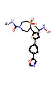 CC(C)(C)NC(=O)N1CC[C@](CC(=O)NO)(c2ccc(-c3ccc(-c4cnco4)cc3)s2)S(=O)(=O)CC1